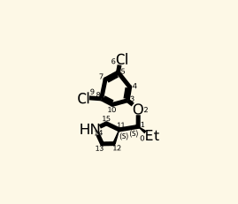 CC[C@H](Oc1cc(Cl)cc(Cl)c1)[C@H]1CCNC1